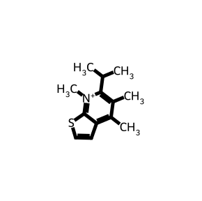 Cc1c(C)c2ccsc2[n+](C)c1C(C)C